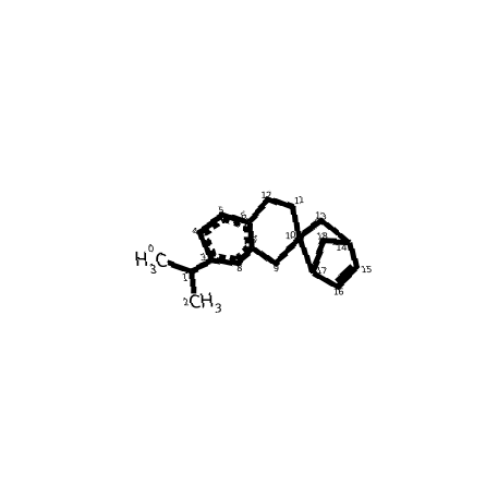 CC(C)c1ccc2c(c1)CC1(CC2)CC2C=CC1C2